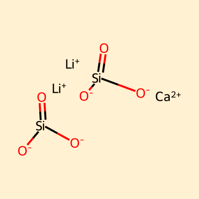 O=[Si]([O-])[O-].O=[Si]([O-])[O-].[Ca+2].[Li+].[Li+]